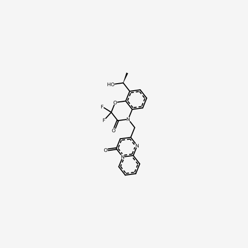 C[C@H](O)c1cccc2c1OC(F)(F)C(=O)N2Cc1cc(=O)n2ccccc2n1